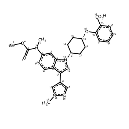 CN(C(=O)OC(C)(C)C)c1cc2c(cn1)c(-c1cnn(C)c1)nn2[C@H]1CC[C@@H](Oc2cccnc2C(=O)O)CC1